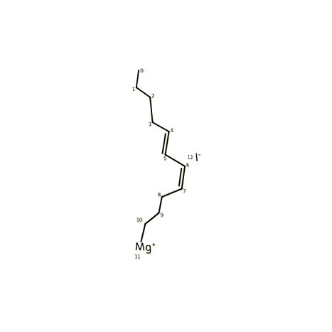 CCCC/C=C/C=C\CC[CH2][Mg+].[I-]